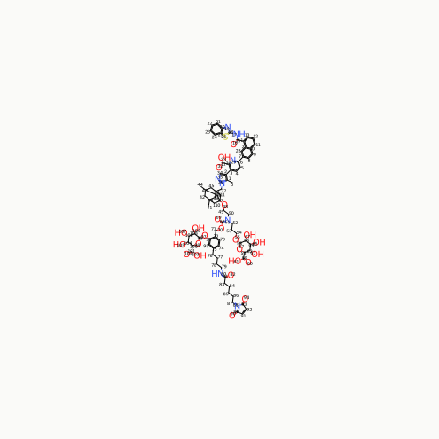 Cc1c(-c2ccc(-c3ccc4cccc(C(=O)Nc5nc6ccccc6s5)c4c3)nc2C(=O)O)cnn1CC12CC3(C)CC(C)(C1)CC(OCCN(CCCO[C@@H]1O[C@H](C(=O)O)[C@@H](O)[C@H](O)[C@H]1O)C(=O)OCc1ccc(CCCCNC(=O)CCCCCN4C(=O)C=CC4=O)cc1O[C@@H]1O[C@H](C(=O)O)[C@@H](O)[C@H](O)[C@H]1O)(C3)C2